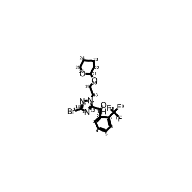 OC(c1ccccc1C(F)(F)F)c1nc(Br)nn1CCOC1CCCCO1